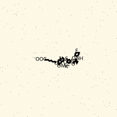 COc1cc2c(Oc3ccc(NC(=O)C4(C(=O)Nc5ccc(F)cc5)CC4)cc3F)ccnc2cc1OCCCCCCC(=O)[O-].[K+]